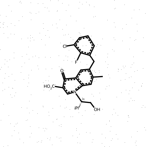 Cc1cc2c(cc1Cc1cccc(Cl)c1F)c(=O)c(C(=O)O)cn2[C@H](CO)C(C)C